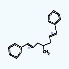 CC(C/C=C/c1ccccc1)C/C=C/c1ccccc1